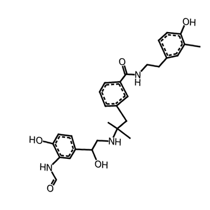 Cc1cc(CCNC(=O)c2cccc(CC(C)(C)NCC(O)c3ccc(O)c(NC=O)c3)c2)ccc1O